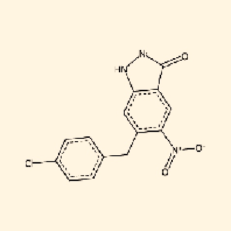 O=C1[N]Nc2cc(Cc3ccc(Cl)cc3)c([N+](=O)[O-])cc21